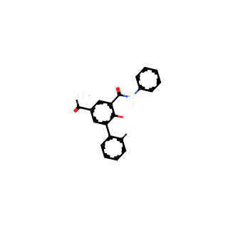 CCCCCCCC(=O)c1cc(C(=O)Nc2ccccc2)c(O)c(-c2ccccc2C(F)(F)F)c1